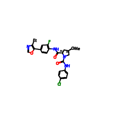 CCc1ncoc1-c1ccc(NC(=O)[C@H]2C[C@@H](OC)CN2C(=O)Nc2ccc(Cl)cc2)c(F)c1